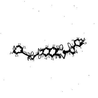 c1cc(-c2ncc(-c3nc4cc5cc6oc(-c7cnc(-c8ccncc8)o7)nc6cc5cc4o3)o2)ccn1